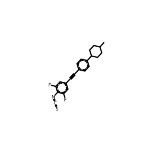 CC1CCC(c2ccc(C#Cc3cc(F)c(N=C=S)c(F)c3)cc2)CC1